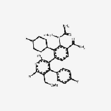 CCCCCCCN(C(N)=O)c1c(C(N)=O)ccc(-c2c(C(C)C)nc(C(C)C)c(COC)c2-c2ccc(F)cc2)c1C1CCN(C)CC1